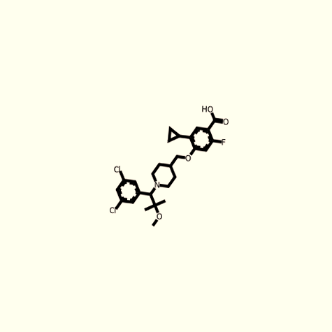 COC(C)(C)C(c1cc(Cl)cc(Cl)c1)N1CCC(COc2cc(F)c(C(=O)O)cc2C2CC2)CC1